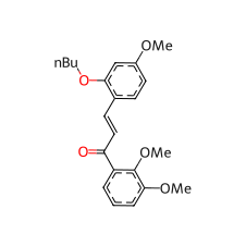 CCCCOc1cc(OC)ccc1C=CC(=O)c1cccc(OC)c1OC